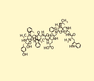 CC(C)C[C@H](NC(=O)CNC(=O)[C@@H](N)Cc1c[nH]c2ccccc12)C(=O)N[C@@H](Cc1ccccc1)C(=O)NCC(=O)N[C@@H](CCC(=O)O)C(=O)N[C@@H](C)C(=O)N[C@@H](Cc1c[nH]c2ccccc12)C(=O)N[C@@H](Cc1ccccc1)C(=O)N[C@@H](C)C(=O)N[C@@H](Cc1ccc(O)cc1)C(=O)O